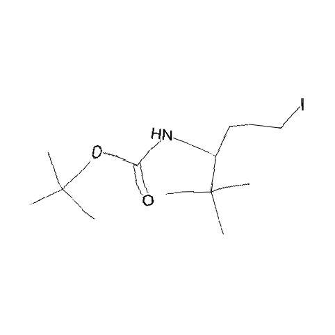 CC(C)(C)OC(=O)NC(CCI)C(C)(C)C